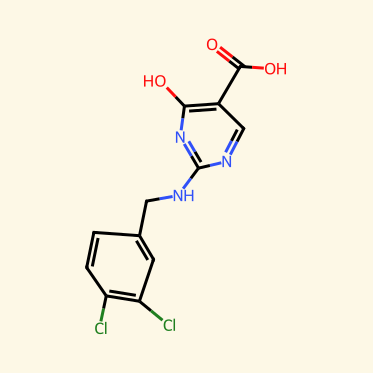 O=C(O)c1cnc(NCc2ccc(Cl)c(Cl)c2)nc1O